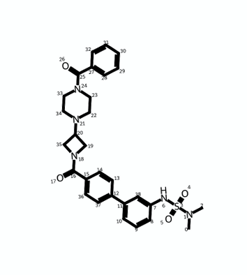 CN(C)S(=O)(=O)Nc1cccc(-c2ccc(C(=O)N3CC(N4CCN(C(=O)c5ccccc5)CC4)C3)cc2)c1